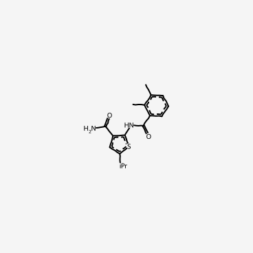 Cc1cccc(C(=O)Nc2sc(C(C)C)cc2C(N)=O)c1C